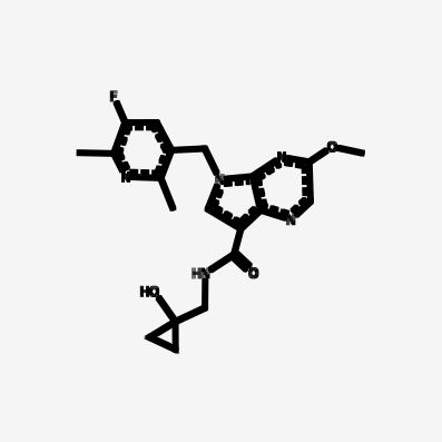 COc1cnc2c(C(=O)NCC3(O)CC3)cn(Cc3cc(F)c(C)nc3C)c2n1